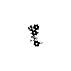 O=C(Nc1cccc(Br)c1)Nc1ccc(-c2ccccc2)c(-c2nnn[nH]2)c1